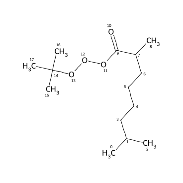 CC(C)CCCCC(C)C(=O)OOOC(C)(C)C